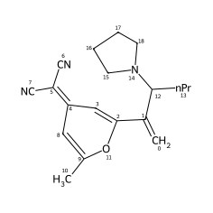 C=C(C1=CC(=C(C#N)C#N)C=C(C)O1)C(CCC)N1CCCC1